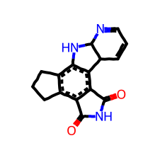 O=C1NC(=O)c2c1c1c(c3c2C2C=CC=NC2N3)CCC1